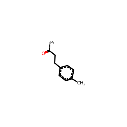 Cc1ccc(CCC(=O)C(C)C)cc1